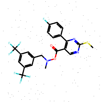 CSc1ncc(C(=O)ON(C)Cc2cc(C(F)(F)F)cc(C(F)(F)F)c2)c(-c2ccc(F)cc2)n1